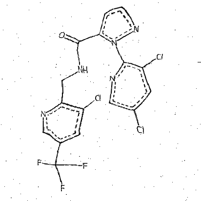 O=C(NCc1ncc(C(F)(F)F)cc1Cl)c1ccnn1-c1ncc(Cl)cc1Cl